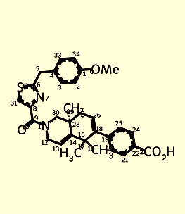 COc1ccc(Cc2nc(C(=O)N3CC=C4C(C)(C)C(c5ccc(C(=O)O)cc5)=CC[C@]4(C)C3)cs2)cc1